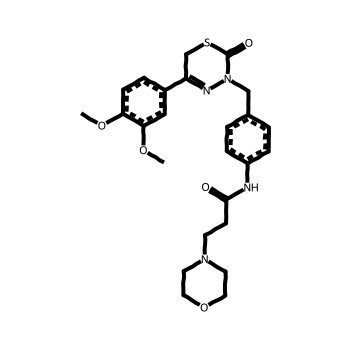 COc1ccc(C2=NN(Cc3ccc(NC(=O)CCN4CCOCC4)cc3)C(=O)SC2)cc1OC